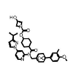 COc1ccc(C23CCC(CN(C(=O)C4CCC(OC(=O)N5CC(O)C5)CC4)c4cc(-n5ccc(C(C)C)n5)ccn4)(CC2)CC3)cc1C